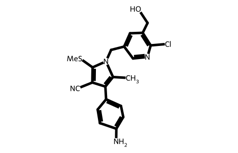 CSc1c(C#N)c(-c2ccc(N)cc2)c(C)n1Cc1cnc(Cl)c(CO)c1